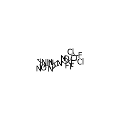 N#CC1(NC(=O)c2ncc3c(n2)CN(C2=NOC(c4cc(Cl)c(F)c(Cl)c4)(C(F)(F)F)C2)C3)CC1